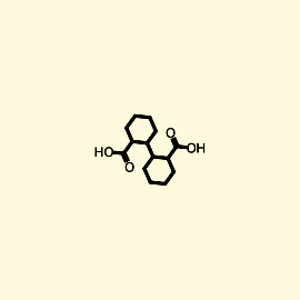 O=C(O)C1CCCCC1C1CCCCC1C(=O)O